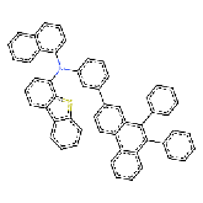 c1ccc(-c2c(-c3ccccc3)c3cc(-c4cccc(N(c5cccc6ccccc56)c5cccc6c5sc5ccccc56)c4)ccc3c3ccccc23)cc1